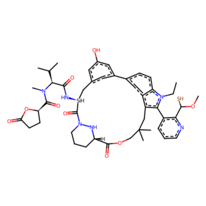 CCn1c(-c2cccnc2C(S)OC)c2c3cc(ccc31)-c1cc(O)cc(c1)C[Si@H](NC(=O)[C@H](C(C)C)N(C)C(=O)[C@H]1CCC(=O)O1)C(=O)N1CCC[C@H](N1)C(=O)OCC(C)(C)C2